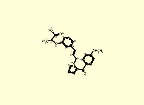 CSc1ccc(C(=O)c2cccn2C/C=C/c2cccc(O[C@@H](C)C(=O)O)c2)cc1